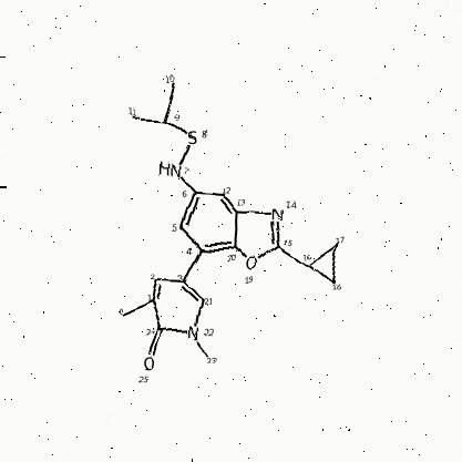 Cc1cc(-c2cc(NSC(C)C)cc3nc(C4CC4)oc23)cn(C)c1=O